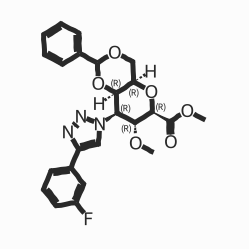 COC(=O)[C@@H]1O[C@@H]2COC(c3ccccc3)O[C@@H]2[C@H](n2cc(-c3cccc(F)c3)nn2)[C@H]1OC